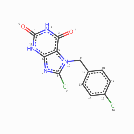 O=c1[nH]c(=O)c2c(nc(Cl)n2Cc2ccc(Cl)cc2)[nH]1